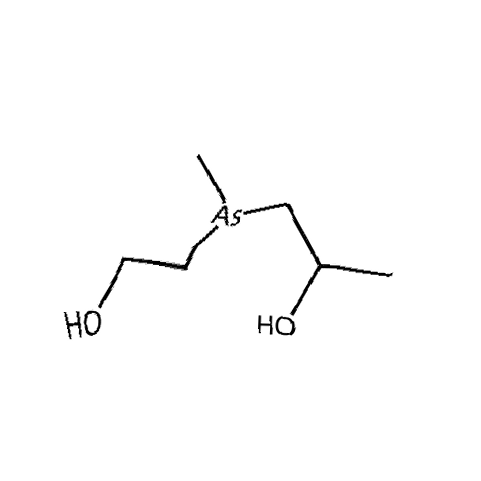 CC(O)C[As](C)CCO